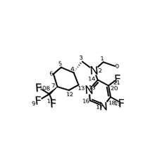 CCN(C[C@H]1CC[C@H](C(F)(F)F)CC1)c1ncnc(F)c1F